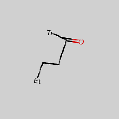 CCCC[C](=O)[Ti]